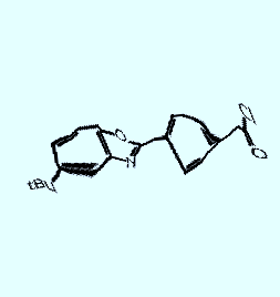 CC(C)(C)c1ccc2oc(-c3ccc(C(=O)Cl)cc3)nc2c1